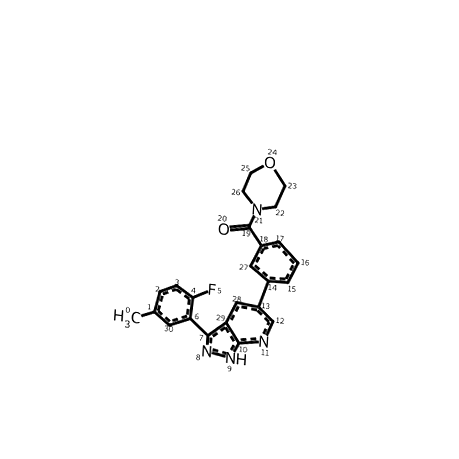 Cc1ccc(F)c(-c2n[nH]c3ncc(-c4cccc(C(=O)N5CCOCC5)c4)cc23)c1